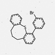 Brc1cccc(-c2cccc3c2Sc2ccccc2CCC3)c1